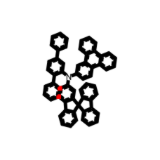 c1ccc(-c2ccc(-c3ccccc3)c(N(c3ccc4c(c3)C3(c5ccccc5-c5ccccc53)c3ccccc3-4)c3ccc4c5ccccc5c5ccccc5c4c3)c2)cc1